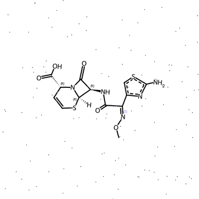 CO/N=C(\C(=O)N[C@@H]1C(=O)N2[C@@H](C(=O)O)C=CS[C@H]12)c1csc(N)n1